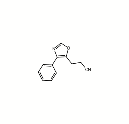 N#CCCc1ocnc1-c1ccccc1